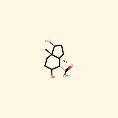 COC(=O)[C@@H]1C(O)CC[C@]2(C)[C@@H](O)CC[C@@H]12